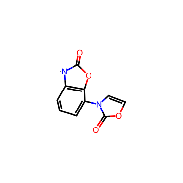 O=C1[N]c2cccc(-n3ccoc3=O)c2O1